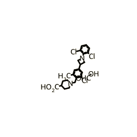 Cc1cc(C2CN(c3c(Cl)cccc3Cl)C2)cc(Cl)c1CN1CCC(C(=O)O)CC1.O=CO